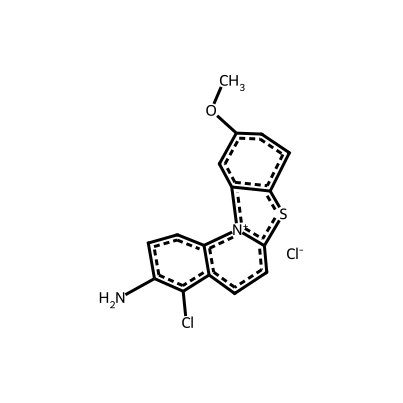 COc1ccc2sc3ccc4c(Cl)c(N)ccc4[n+]3c2c1.[Cl-]